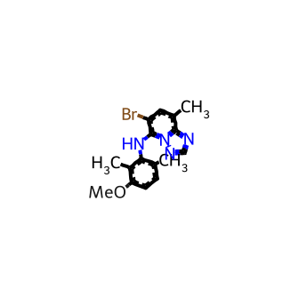 COc1ccc(C)c(Nc2c(Br)cc(C)c3ncnn23)c1C